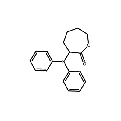 O=C1OCCCCC1N(c1ccccc1)c1ccccc1